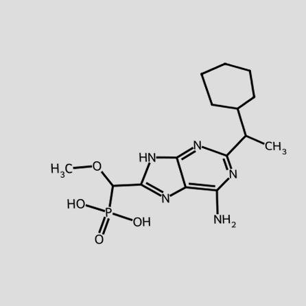 COC(c1nc2c(N)nc(C(C)C3CCCCC3)nc2[nH]1)P(=O)(O)O